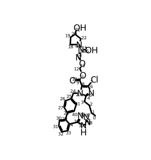 CCCCc1nc(Cl)c(C(=O)OCO/N=[N+](\O)N2CCC(O)C2)n1Cc1ccc(-c2ccccc2-c2nnn[nH]2)cc1